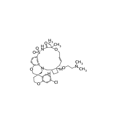 CN(C)CCO[C@H]1/C=C/COC(C)(C)C(=O)NS(=O)(=O)c2ccc3c(c2)N(C[C@@H]2CC[C@H]21)C[C@@]1(CCOc2cc(Cl)ccc21)CO3